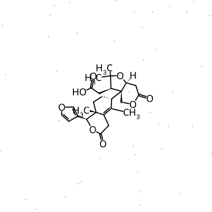 CC1=C2CC(=O)O[C@@H](c3ccoc3)[C@]2(C)CC[C@@H]1[C@@]12COC(=O)C[C@@H]1OC(C)(C)[C@@H]2CC(=O)O